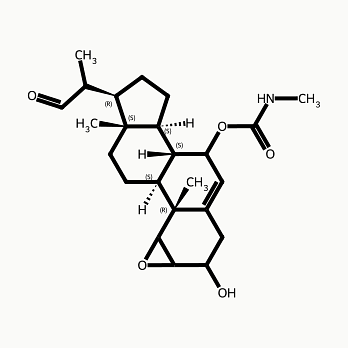 CNC(=O)OC1C=C2CC(O)C3OC3[C@]2(C)[C@H]2CC[C@]3(C)[C@@H](C(C)C=O)CC[C@H]3[C@H]12